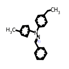 CCc1ccc(N(/N=C/c2ccccc2)c2ccc(C)cc2)cc1